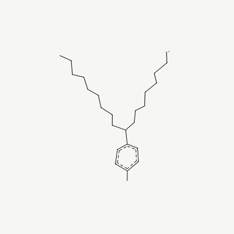 [CH2]CCCCCCCC(CCCCCCCCC)c1ccc(C)cc1